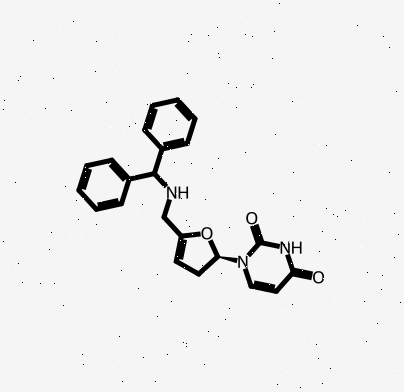 O=c1ccn([C@H]2CC=C(CNC(c3ccccc3)c3ccccc3)O2)c(=O)[nH]1